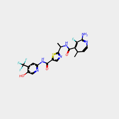 CC1C#CN=C(N)C(F)=C1C(=O)NC(C)c1ncc(C(=O)Nc2cc(C(F)(F)F)c(O)cn2)s1